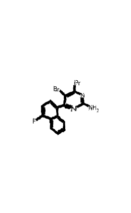 CC(C)c1nc(N)nc(-c2ccc(F)c3ccccc23)c1Br